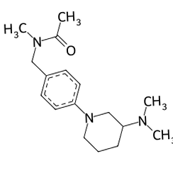 CC(=O)N(C)Cc1ccc(N2CCCC(N(C)C)C2)cc1